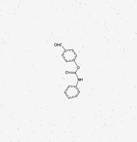 O=Cc1ccc(OC(=O)Nc2ccccc2)cc1